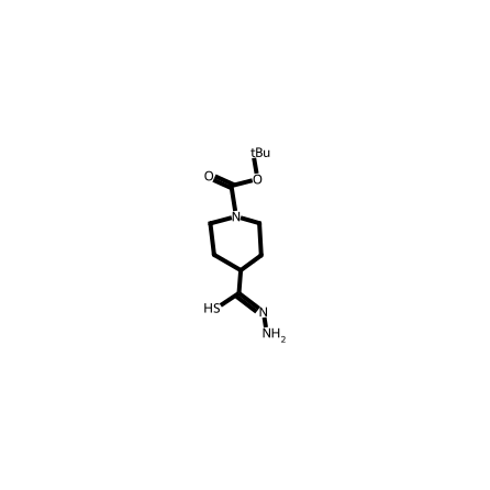 CC(C)(C)OC(=O)N1CCC(/C(S)=N/N)CC1